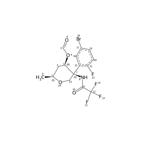 C[C@H]1C[C@@H](OC=O)[C@](NC(=O)C(F)(F)F)(c2cc(Br)ccc2F)CO1